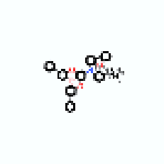 C[Si](C)(C)c1cccc(N(c2cc3c4c(c2)Oc2cc(-c5ccccc5)ccc2B4c2ccc(-c4ccccc4)cc2O3)c2cccc3c2oc2ccccc23)c1